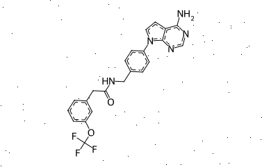 Nc1ncnc2c1ccn2-c1ccc(CNC(=O)Cc2cccc(OC(F)(F)F)c2)cc1